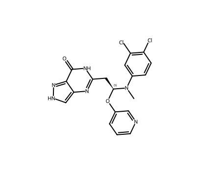 CN(c1ccc(Cl)c(Cl)c1)[C@H](Cc1nc2c[nH]nc2c(=O)[nH]1)Oc1cccnc1